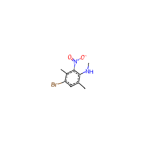 CNc1c(C)cc(Br)c(C)c1[N+](=O)[O-]